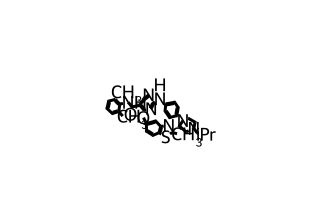 Cc1nc2cc(Oc3nc(Nc4ccc(N5CCN(C(C)C)CC5)cc4)ncc3C(=O)Nc3c(C)cccc3C)ccc2s1